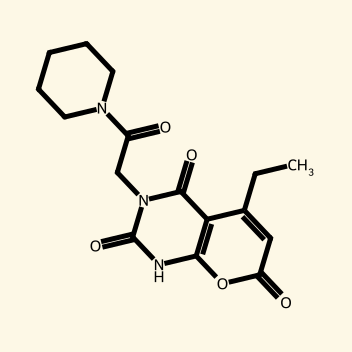 CCc1cc(=O)oc2[nH]c(=O)n(CC(=O)N3CCCCC3)c(=O)c12